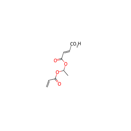 C=CC(=O)OC(C)OC(=O)C=CC(=O)O